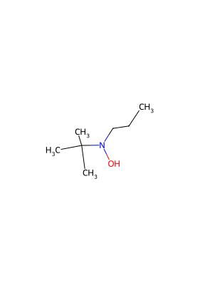 CCCN(O)C(C)(C)C